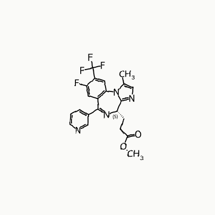 COC(=O)CC[C@@H]1N=C(c2cccnc2)c2cc(F)c(C(F)(F)F)cc2-n2c(C)cnc21